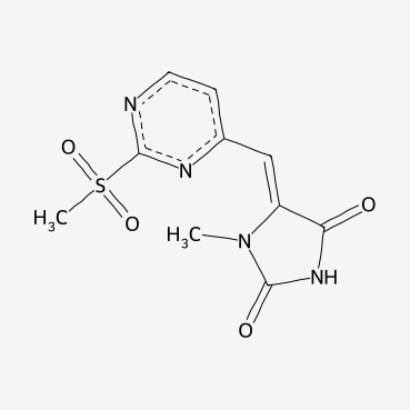 CN1C(=O)NC(=O)C1=Cc1ccnc(S(C)(=O)=O)n1